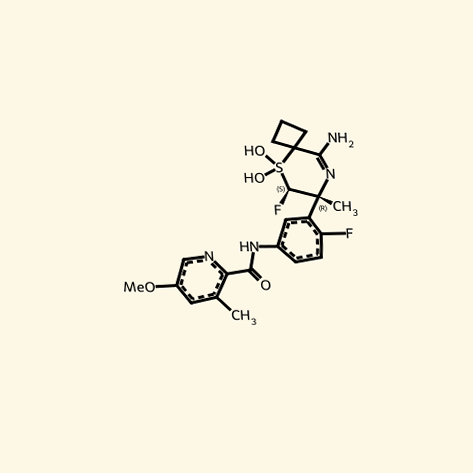 COc1cnc(C(=O)Nc2ccc(F)c([C@@]3(C)N=C(N)C4(CCC4)S(O)(O)[C@@H]3F)c2)c(C)c1